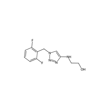 OCCNc1cn(Cc2c(F)cccc2F)nn1